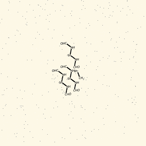 C[C](C)C.O=C[NH][Sn][NH]C=O.O=C[NH][Sn][NH]C=O.O=C[NH][Sn][NH]C=O